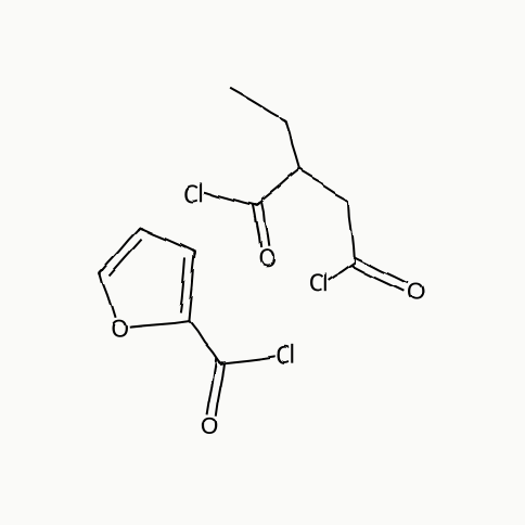 CCC(CC(=O)Cl)C(=O)Cl.O=C(Cl)c1ccco1